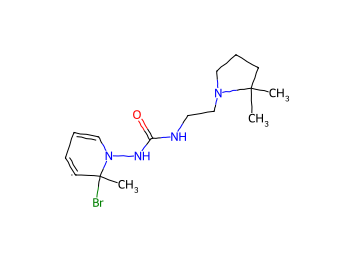 CC1(Br)[C]=CC=CN1NC(=O)NCCN1CCCC1(C)C